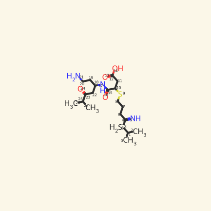 CC(C)[SiH2]C(=N)CCCSC(CC(=O)O)C(=O)NC(CCN)CC(=O)C(C)C